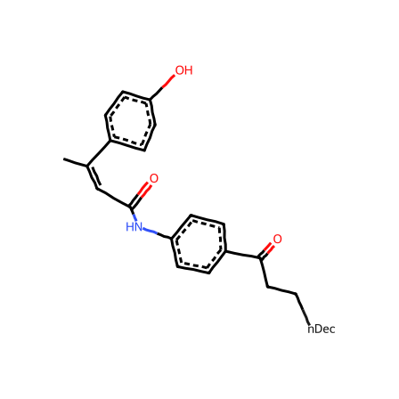 CCCCCCCCCCCCC(=O)c1ccc(NC(=O)C=C(C)c2ccc(O)cc2)cc1